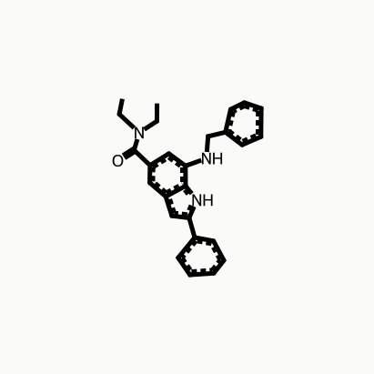 CCN(CC)C(=O)c1cc(NCc2ccccc2)c2[nH]c(-c3ccccc3)cc2c1